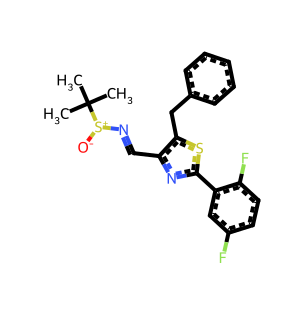 CC(C)(C)[S+]([O-])N=Cc1nc(-c2cc(F)ccc2F)sc1Cc1ccccc1